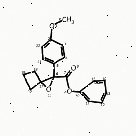 COc1ccc(C2(C(=O)Oc3ccccc3)OC23CCC3)cc1